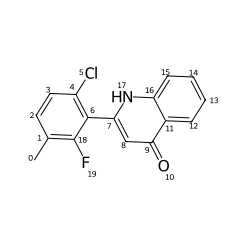 Cc1ccc(Cl)c(-c2cc(=O)c3ccccc3[nH]2)c1F